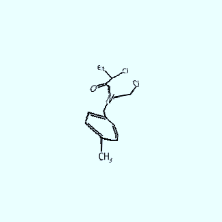 CCC(Cl)C(=O)N(CCl)c1ccc(C)cc1